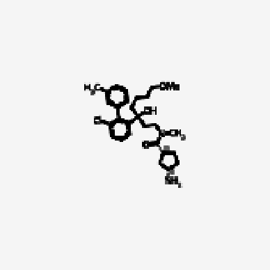 COCCCCC(O)(CCN(C)C(=O)[C@@H]1CC[C@H](N)C1)c1cccc(Cl)c1-c1cccc(C)c1